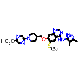 Cc1n[nH]c(Nc2ncnc3cc(OCC4CCN(c5cnc(C(=O)O)cn5)CC4)c(SC(C)(C)C)cc23)c1C